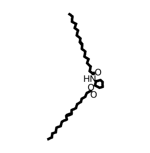 CCCCCCCCC=CCCCCCCCC(=O)N[C@@H]1CCCC[C@H]1OC(=O)CCCCCCCC=CCCCCCCCC